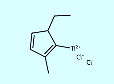 CCC1C=CC(C)=[C]1[Ti+2].[Cl-].[Cl-]